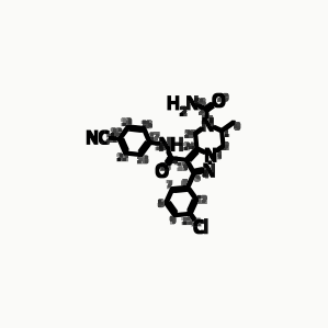 CC1Cn2nc(-c3cccc(Cl)c3)c(C(=O)Nc3ccc(C#N)cc3)c2CN1C(N)=O